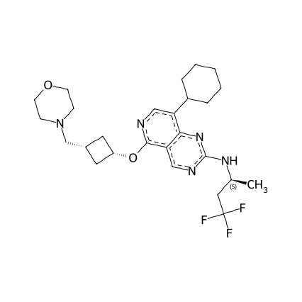 C[C@@H](CC(F)(F)F)Nc1ncc2c(O[C@H]3C[C@@H](CN4CCOCC4)C3)ncc(C3CCCCC3)c2n1